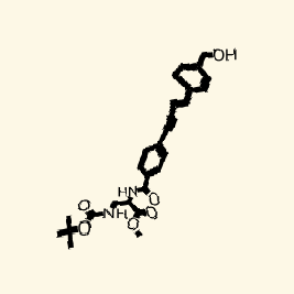 COC(=O)C(CNC(=O)OC(C)(C)C)NC(=O)c1ccc(C#CC=Cc2ccc(CO)cc2)cc1